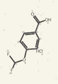 Cl.O=C(O)c1ccc(OC(F)F)cc1